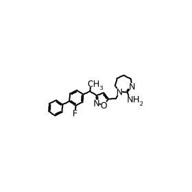 CC(c1ccc(-c2ccccc2)c(F)c1)c1cc(CN2CCCCN=C2N)on1